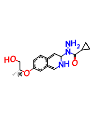 C[C@H](CO)Oc1ccc2c(c1)=CNC(N(N)C(=O)C1CC1)C=2